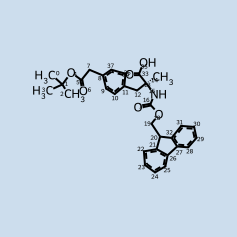 CC(C)(C)OC(=O)Cc1ccc(C[C@](C)(NC(=O)OCC2c3ccccc3-c3ccccc32)C(=O)O)cc1